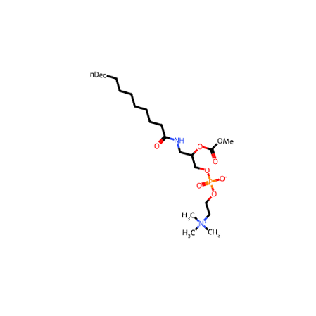 CCCCCCCCCCCCCCCCCC(=O)NCC(COP(=O)([O-])OCC[N+](C)(C)C)OC(=O)OC